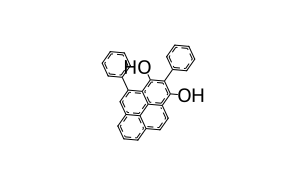 Oc1c(-c2ccccc2)c(O)c2c(-c3ccccc3)cc3cccc4ccc1c2c43